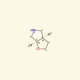 C1C[C@@H]2CNC[C@@H]2O1